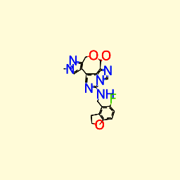 Cn1cc2c(n1)COC(=O)c1ncn3c(NCc4c(F)ccc5c4CCO5)ncc-2c13